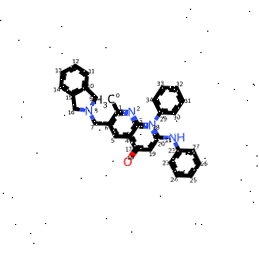 Cc1nc2c(cc1CN1Cc3ccccc3C1)c(=O)cc(Nc1ccccc1)n2-c1ccccc1